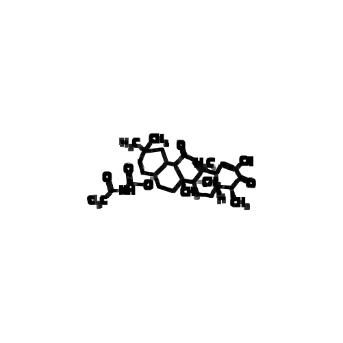 C[C@@H]1C(=O)C(C#N)=C[C@]2(C)C3=CC(=O)C4C5CC(C)(C)CC[C@]5(OC(=O)NC(=O)C(Cl)(Cl)Cl)CC[C@@]4(C)[C@]3(C)CC[C@@H]12